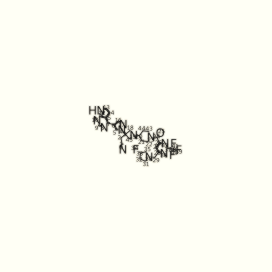 N#CCC1(n2cc(-c3ncnc4[nH]ccc34)cn2)CN(C2CCN(C(=O)c3cc(CN4CC[C@@H](F)C4)nc(C(F)(F)F)n3)CC2)C1